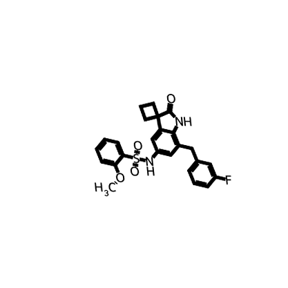 COc1ccccc1S(=O)(=O)Nc1cc(Cc2cccc(F)c2)c2c(c1)C1(CCC1)C(=O)N2